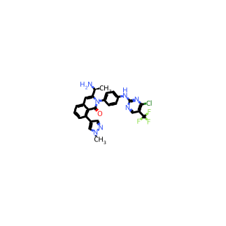 C[C@H](N)c1cc2cccc(-c3cnn(C)c3)c2c(=O)n1-c1ccc(Nc2ncc(C(F)(F)F)c(Cl)n2)cc1